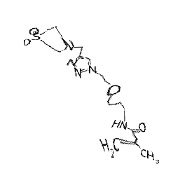 C=C(C)C(=O)NCCOCCn1cc(CN2CCS(=O)(=O)CC2)nn1